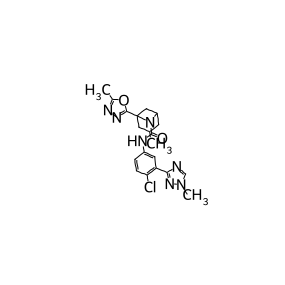 Cc1nnc(C23CC(C)CC(C2)N3C(=O)Nc2ccc(Cl)c(-c3ncn(C)n3)c2)o1